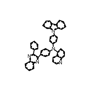 c1ccc(-c2nc3ccccc3nc2-c2ccc(N(c3ccc(-n4c5ccccc5c5ccccc54)cc3)c3cccc4ncccc34)cc2)cc1